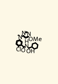 COc1cc(N(C)c2ccc(Cl)c(C(=O)NC(O)C3CCCCC3)c2)ncn1